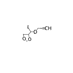 C#CCOC(I)C1COCO1